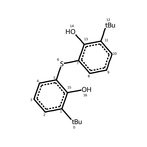 CC(C)(C)c1cccc(Sc2cccc(C(C)(C)C)c2O)c1O